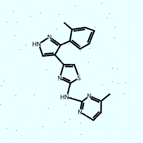 Cc1ccnc(Nc2nc(-c3c[nH]nc3-c3ccccc3C)cs2)n1